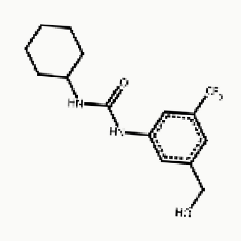 O=C(Nc1cc(CO)cc(C(F)(F)F)c1)NC1CCCCC1